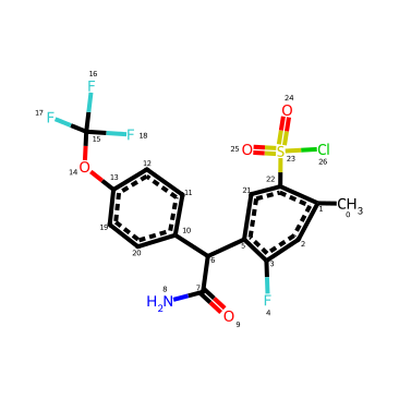 Cc1cc(F)c(C(C(N)=O)c2ccc(OC(F)(F)F)cc2)cc1S(=O)(=O)Cl